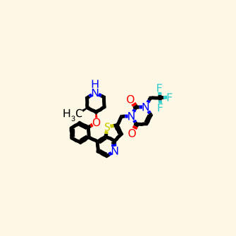 C[C@H]1CNCC[C@H]1Oc1ccccc1-c1ccnc2cc(Cn3c(=O)ccn(CC(F)(F)F)c3=O)sc12